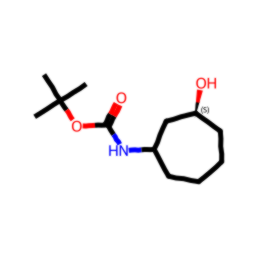 CC(C)(C)OC(=O)NC1CCCC[C@H](O)C1